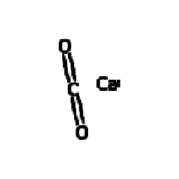 O=C=O.[Ca]